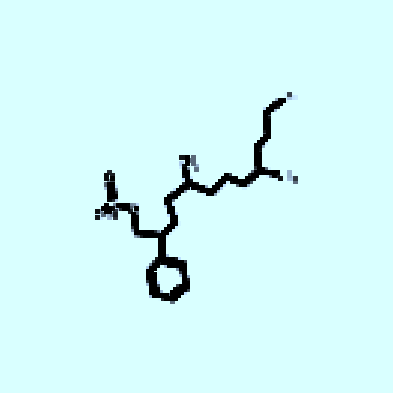 CC(C)CCCC(C)CCCC(C)CCC(CO[SH](=O)=O)c1ccccc1